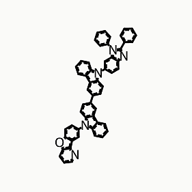 c1ccc(-c2nc3ccc(-n4c5ccccc5c5cc(-c6ccc7c(c6)c6ccccc6n7-c6ccc7oc8cccnc8c7c6)ccc54)cc3n2-c2ccccc2)cc1